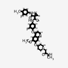 CNC(=O)CN1CCC(Oc2cc3nccc(Oc4ccc(NC(=O)C5(C(=O)Nc6ccc(C)c(F)c6)CC5)cc4F)c3cc2OC)CC1